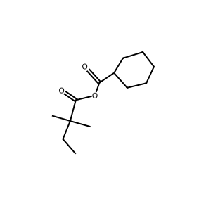 CCC(C)(C)C(=O)OC(=O)C1CCCCC1